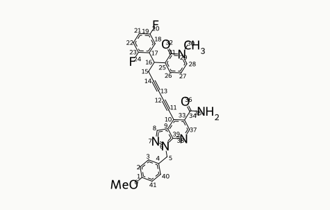 COc1ccc(Cn2ncc3c(C#CC#CCC(c4cc(F)ccc4F)c4cccn(C)c4=O)c(C(N)=O)cnc32)cc1